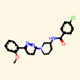 COc1ccccc1-c1ccc(N2CCCC(NC(=O)c3ccc(Cl)cc3)C2)nn1